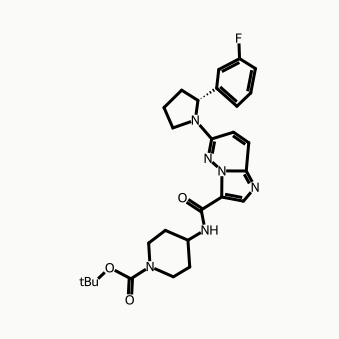 CC(C)(C)OC(=O)N1CCC(NC(=O)c2cnc3ccc(N4CCC[C@@H]4c4cccc(F)c4)nn23)CC1